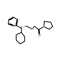 O=C(CNC[C@@H](c1ccccc1)C1CCCCC1)N1CCCC1